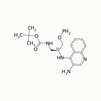 CC(C)(C)OC(=O)NC[C@@H](COP)Nc1c(N)cnc2ccccc12